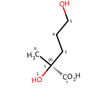 C[C@](O)(CCCO)C(=O)O